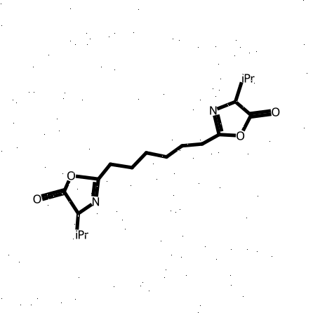 CC(C)C1N=C(CCCCCCC2=NC(C(C)C)C(=O)O2)OC1=O